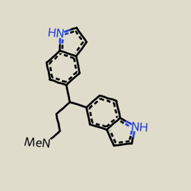 CNCCC(c1ccc2[nH]ccc2c1)c1ccc2[nH]ccc2c1